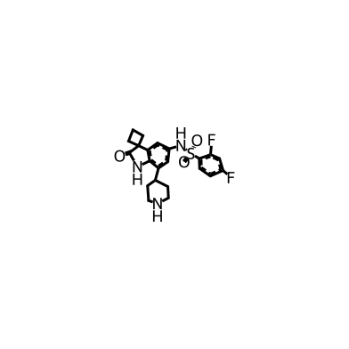 O=C1Nc2c(C3CCNCC3)cc(NS(=O)(=O)c3ccc(F)cc3F)cc2C12CCC2